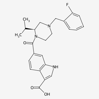 CC(C)[C@H]1CN(Cc2ccccc2F)CCN1C(=O)c1ccc2c(C(=O)O)c[nH]c2c1